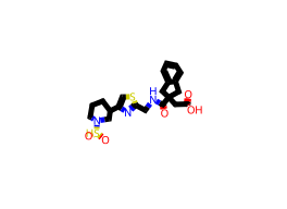 O=C(O)CC1(C(=O)NCc2nc(C3CCCN([SH](=O)=O)C3)cs2)Cc2ccccc2C1